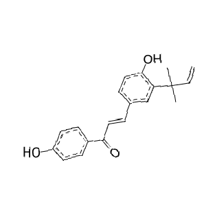 C=CC(C)(C)c1cc(C=CC(=O)c2ccc(O)cc2)ccc1O